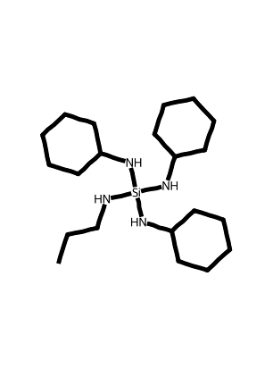 CCCN[Si](NC1CCCCC1)(NC1CCCCC1)NC1CCCCC1